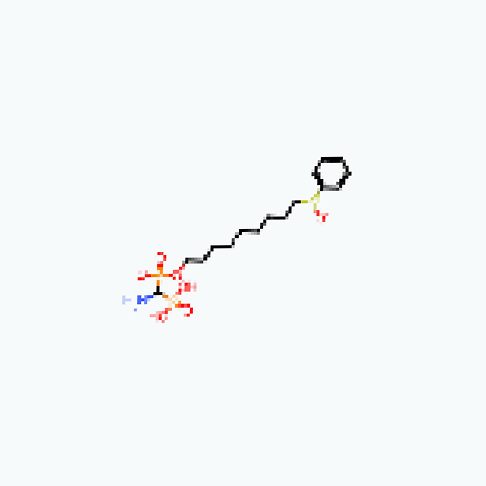 NC(P(=O)(O)O)P(=O)(O)OCCCCCCCCC[S+]([O-])c1ccccc1